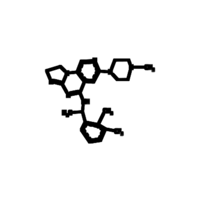 Cc1c(C(C)NC2=NC3=NCCN3c3cnc(N4CCN(C)CC4)cc32)cccc1C(F)(F)F